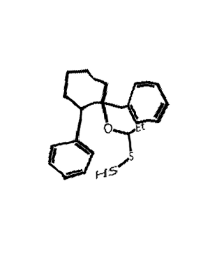 CCC(OC1(c2ccccc2)CCCCC1c1ccccc1)SS